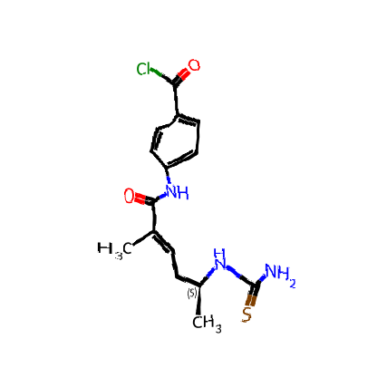 CC(=CC[C@H](C)NC(N)=S)C(=O)Nc1ccc(C(=O)Cl)cc1